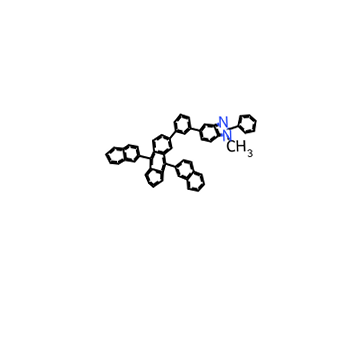 Cn1c(-c2ccccc2)nc2cc(-c3cccc(-c4ccc5c(-c6ccc7ccccc7c6)c6ccccc6c(-c6ccc7ccccc7c6)c5c4)c3)ccc21